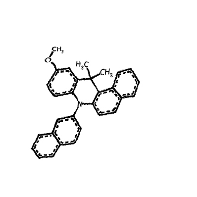 COc1ccc2c(c1)C(C)(C)c1c(ccc3ccccc13)N2c1ccc2ccccc2c1